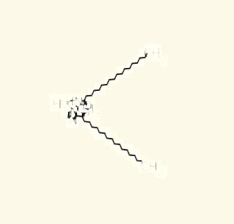 CCCCCCCCCCCCCCCCCC(=O)NC(C)(C)N1CCN=C1C(=O)CCCCCCCCCCCCCCCCC